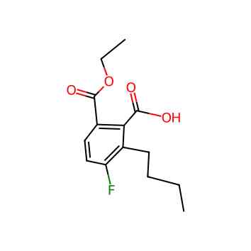 CCCCc1c(F)ccc(C(=O)OCC)c1C(=O)O